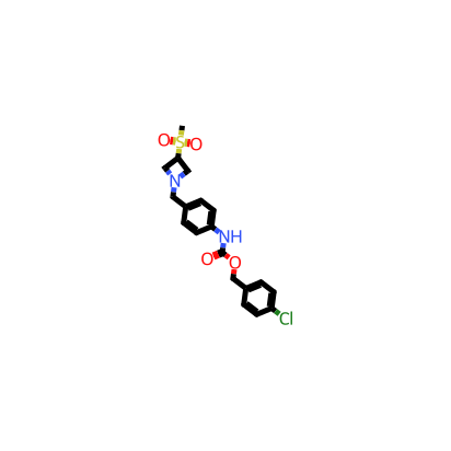 CS(=O)(=O)C1CN(Cc2ccc(NC(=O)OCc3ccc(Cl)cc3)cc2)C1